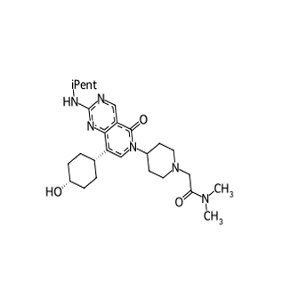 CCCC(C)Nc1ncc2c(=O)n(C3CCN(CC(=O)N(C)C)CC3)cc([C@H]3CC[C@@H](O)CC3)c2n1